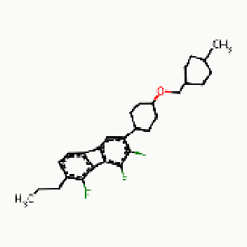 CCCc1ccc2c(c1F)-c1c-2cc(C2CCC(OCC3CCC(C)CC3)CC2)c(F)c1F